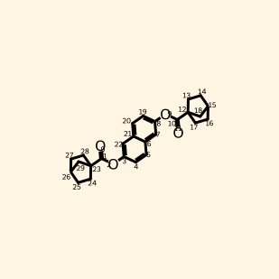 O=C(Oc1ccc2cc(OC(=O)C34CCC(CC3)C4)ccc2c1)C12CCC(CC1)C2